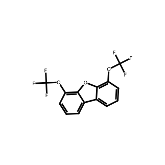 FC(F)(F)Oc1cccc2c1oc1c(OC(F)(F)F)cccc12